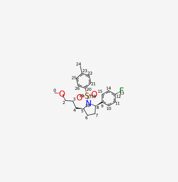 COCCC[C@@H]1CC[C@H](c2ccc(F)cc2)N1S(=O)(=O)c1ccc(C)cc1